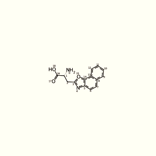 N[C@H](Cc1nc2ccc3ccccc3c2o1)C(=O)O